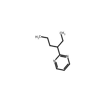 CCCC(CC)c1ncccn1